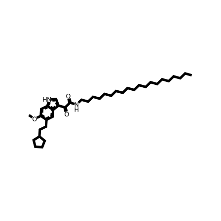 CCCCCCCCCCCCCCCCCCCCNC(=O)C(=O)c1c[nH]c2cc(OC)c(CCC3CCCC3)cc12